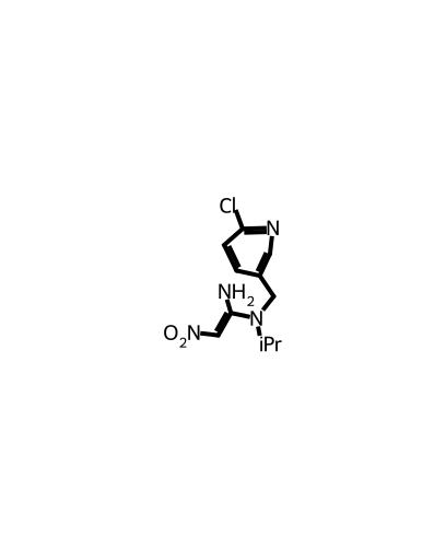 CC(C)N(Cc1ccc(Cl)nc1)C(N)=C[N+](=O)[O-]